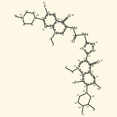 CCn1cc(NC(=O)Nc2nnc(-c3cn(CC)c4c(F)c(N5CCN(C)C(C)C5)c(F)cc4c3=O)s2)c(=O)c2cc(F)c(N3CCN(C)CC3)nc21